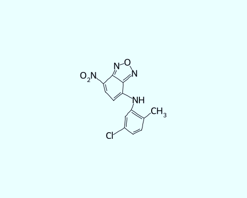 Cc1ccc(Cl)cc1Nc1ccc([N+](=O)[O-])c2nonc12